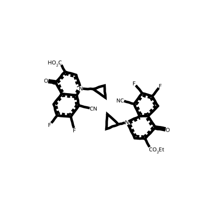 CCOC(=O)c1cn(C2CC2)c2c(C#N)c(F)c(F)cc2c1=O.N#Cc1c(F)c(F)cc2c(=O)c(C(=O)O)cn(C3CC3)c12